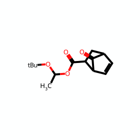 CC(OC(=O)C1CC2C=CC1C2=O)OC(C)(C)C